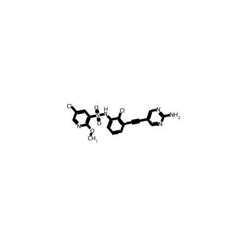 COc1ncc(Cl)cc1S(=O)(=O)Nc1cccc(C#Cc2cnc(N)nc2)c1Cl